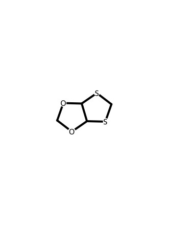 C1OC2SCSC2O1